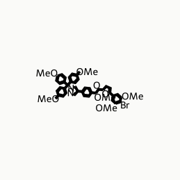 COc1ccc(C(c2ccc(OC)cc2)(c2ccc(OC)cc2)N2CC(c3ccc(C(OC)C(=O)C4CC=C(c5cc(OC)c(Br)c(OC)c5)O4)cc3)C=N2)cc1